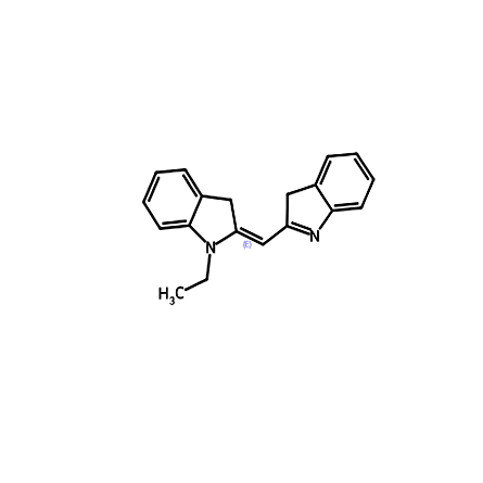 CCN1/C(=C/C2=Nc3ccccc3C2)Cc2ccccc21